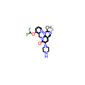 Cc1ncc2cc(N3CCNCC3)c(=O)n(Cc3ncccc3OC(F)F)c2n1